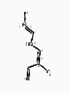 C=C/C(Cl)=C\N/C=N/C